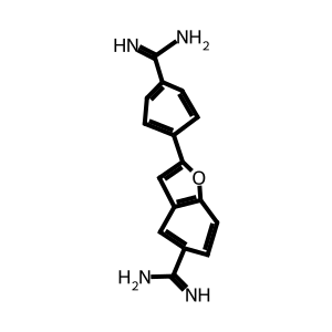 N=C(N)c1ccc(-c2cc3cc(C(=N)N)ccc3o2)cc1